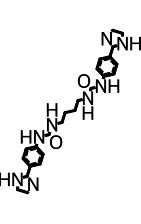 O=C(NCCCCNC(=O)Nc1ccc(C2=NCCN2)cc1)Nc1ccc(C2=NCCN2)cc1